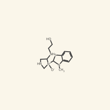 CN1c2ccccc2SC1[N+]1([O-])CNCC1NCCO